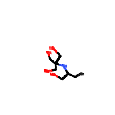 CC(C)CC(CO)NC(CO)(CO)CO